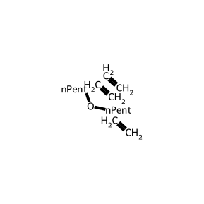 C=C.C=C.C=C.CCCCCOCCCCC